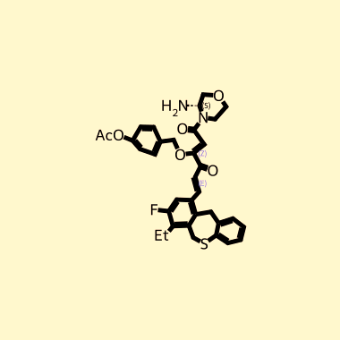 CCc1c(F)cc(/C=C/C(=O)/C(=C/C(=O)N2CCOC[C@H]2N)OCc2ccc(OC(C)=O)cc2)c2c1CSc1ccccc1C2